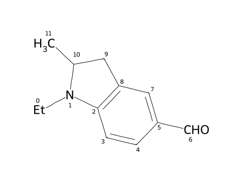 CCN1c2ccc(C=O)cc2CC1C